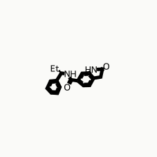 CC[C@@H](NC(=O)c1ccc2c(c1)NC(=O)C2)c1ccccc1